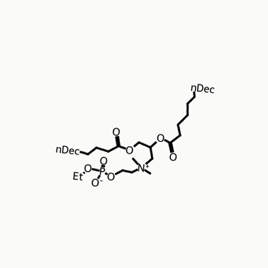 CCCCCCCCCCCCCCCC(=O)OC(COC(=O)CCCCCCCCCCCCC)C[N+](C)(C)CCOP(=O)([O-])OCC